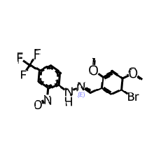 COC1=CC(OC)C(Br)C=C1/C=N/Nc1ccc(C(F)(F)F)cc1N=O